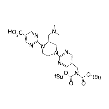 CN(C)CC1CN(c2ncc(CN(C(=O)OC(C)(C)C)C(=O)OC(C)(C)C)cn2)CCN1c1ncc(C(=O)O)cn1